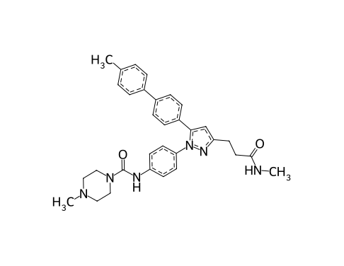 CNC(=O)CCc1cc(-c2ccc(-c3ccc(C)cc3)cc2)n(-c2ccc(NC(=O)N3CCN(C)CC3)cc2)n1